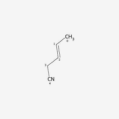 CC=CCC#N